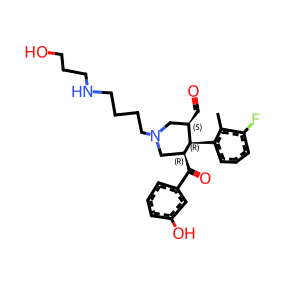 Cc1c(F)cccc1[C@@H]1[C@H](C=O)CN(CCCCNCCCO)C[C@@H]1C(=O)c1cccc(O)c1